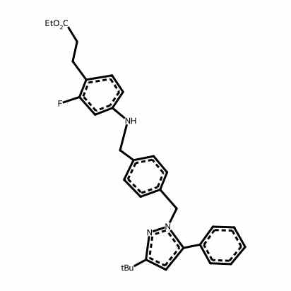 CCOC(=O)CCc1ccc(NCc2ccc(Cn3nc(C(C)(C)C)cc3-c3ccccc3)cc2)cc1F